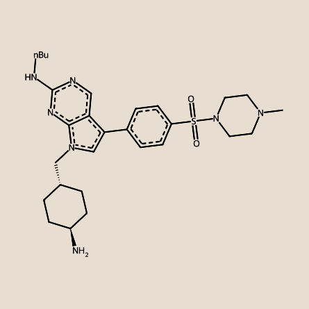 CCCCNc1ncc2c(-c3ccc(S(=O)(=O)N4CCN(C)CC4)cc3)cn(C[C@H]3CC[C@H](N)CC3)c2n1